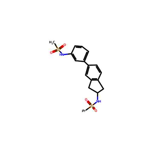 CC(C)S(=O)(=O)NC1Cc2ccc(-c3cccc(NS(C)(=O)=O)c3)cc2C1